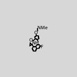 CNCCOc1ccc(C)c(C(=O)NC2(c3cccc4cc(F)ccc34)CC2)c1